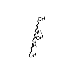 OCCC=CCNCC(O)CNCC=CCCO